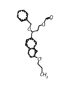 CCCOc1ccc2ccc(C(CCOC=O)OCc3ccccc3)cc2c1